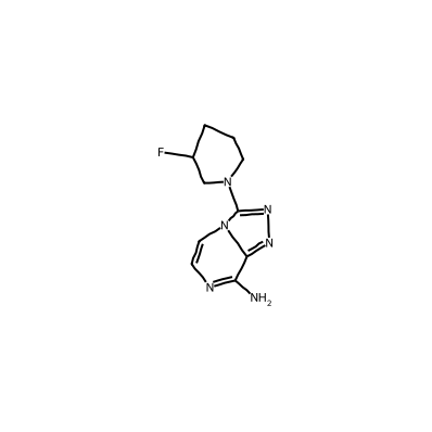 Nc1nccn2c(N3CCCC(F)C3)nnc12